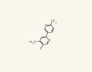 Cc1cc(-c2ccc(C(F)(F)F)nc2)ncc1F